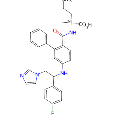 CSCC[C@](C)(NC(=O)c1ccc(NC(Cn2ccnc2)c2ccc(F)cc2)cc1-c1ccccc1)C(=O)O